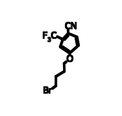 N#Cc1ccc(OCCCCBr)cc1C(F)(F)F